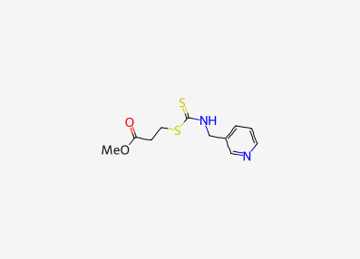 COC(=O)CCSC(=S)NCc1cccnc1